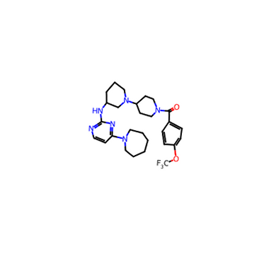 O=C(c1ccc(OC(F)(F)F)cc1)N1CCC(N2CCCC(Nc3nccc(N4CCCCCC4)n3)C2)CC1